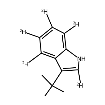 [2H]c1[nH]c2c([2H])c([2H])c([2H])c([2H])c2c1C(C)(C)C